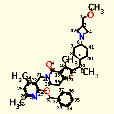 COCC1CN([C@H]2CC[C@H]([C@@H](C)c3sc4c(c3C)C(=O)N(Cc3c(C)cc(C)nc3OCc3ccccc3)CC4)CC2)C1